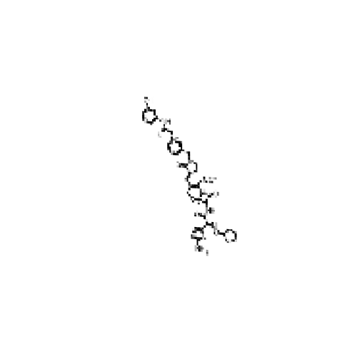 Nc1nc(C(=NOC2CCCC2)C(=O)N[C@@H]2C(=O)N3C(C(=O)[O-])=C(C=C4CCN(Cc5ccc[n+](CC(=O)Nc6cccc(O)c6)c5)C4=O)CS[C@H]23)cs1